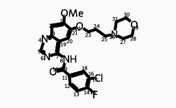 COc1cc2ncnc(NC(=O)c3ccc(F)c(Cl)c3)c2cc1OCCCN1CCOCC1